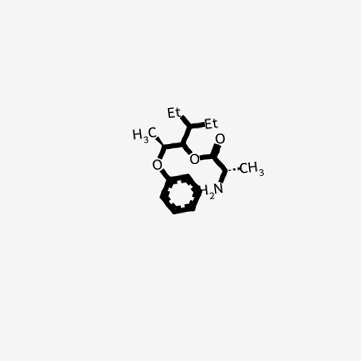 CCC(CC)C(OC(=O)[C@H](C)N)[C@H](C)Oc1ccccc1